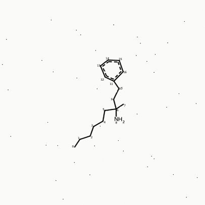 CCCCCCC(C)(N)CCc1ccccc1